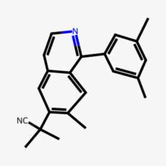 Cc1cc(C)cc(-c2nccc3cc(C(C)(C)C#N)c(C)cc23)c1